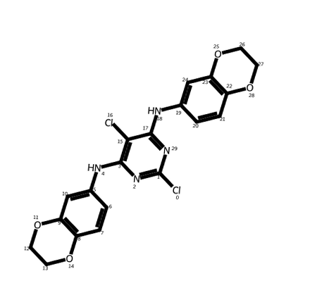 Clc1nc(Nc2ccc3c(c2)OCCO3)c(Cl)c(Nc2ccc3c(c2)OCCO3)n1